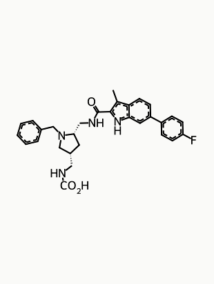 Cc1c(C(=O)NC[C@@H]2C[C@H](CNC(=O)O)CN2Cc2ccccc2)[nH]c2cc(-c3ccc(F)cc3)ccc12